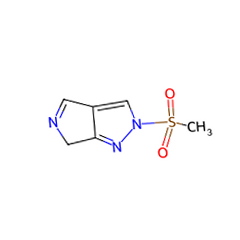 CS(=O)(=O)n1cc2c(n1)CN=C2